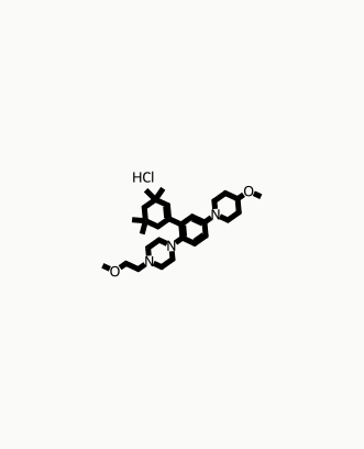 COCCN1CCN(c2ccc(N3CCC(OC)CC3)cc2C2=CC(C)(C)CC(C)(C)C2)CC1.Cl